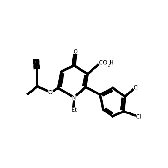 C#CC(C)Oc1cc(=O)c(C(=O)O)c(-c2ccc(Cl)c(Cl)c2)n1CC